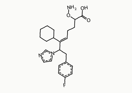 NOC(CC/C=C(\C1CCCCC1)C(Cc1ccc(F)cc1)n1ccnc1)C(=O)O